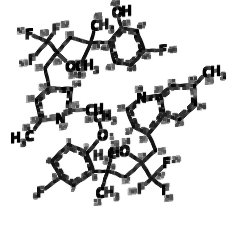 COc1ccc(F)cc1C(C)(C)CC(O)(Cc1ccnc2cc(C)ccc12)C(F)(F)F.Cc1cc(CC(O)(CC(C)(C)c2ccc(F)cc2O)C(F)(F)F)cc(C)n1